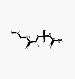 COCNC(=O)[C@@H](C)CC(C)(C)OC(N)=O